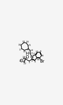 OC1(Cc2cc3c(Br)cccc3n2CCC2CCCCCC2)COC1